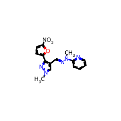 CN(N=Cc1cn(C)nc1-c1ccc([N+](=O)[O-])o1)c1ccccn1